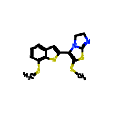 CSC1=C(c2cc3cccc(SC)c3s2)N2CCN=C2S1